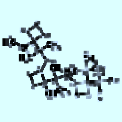 COC1(C(C)(C)CC2CCC2(O)C(C)(C)CC2CCC2(C(C)(C)C)C(F)(F)F)CCC1